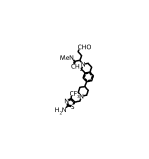 C=C(NC)C(CCC=O)N1CCc2ccc(C3CCN(Cc4sc(N)nc4C(F)(F)F)CC3)cc2C1